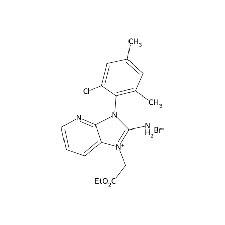 CCOC(=O)C[n+]1c(N)n(-c2c(C)cc(C)cc2Cl)c2ncccc21.[Br-]